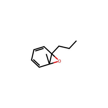 CCCC12C=CC=CC1(C)O2